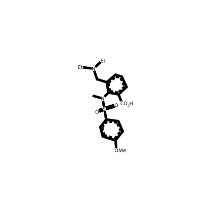 CCN(CC)Cc1cccc(C(=O)O)c1N(C)S(=O)(=O)c1ccc(OC)cc1